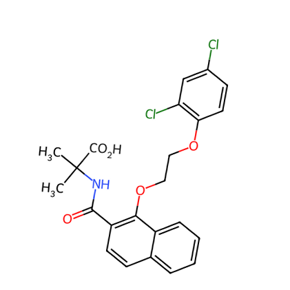 CC(C)(NC(=O)c1ccc2ccccc2c1OCCOc1ccc(Cl)cc1Cl)C(=O)O